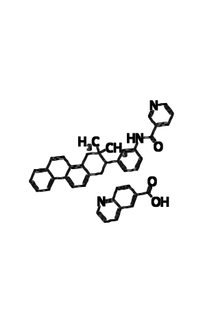 CC1(C)Cc2c(ccc3c2ccc2ccccc23)CC1c1cccc(NC(=O)c2cccnc2)c1.O=C(O)c1ccc2ncccc2c1